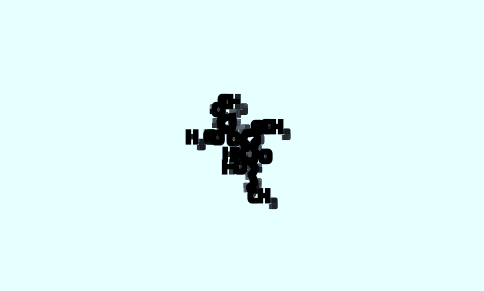 CCCCCC1C(=O)c2cc(OC)cc(Oc3ccc(OC)cc3OC)c2NC1O